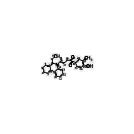 CCC1c2ccccc2-c2ccccc2N1C=CCS(=O)(=O)c1ccc(O)c(C)c1